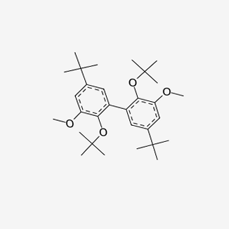 COc1cc(C(C)(C)C)cc(-c2cc(C(C)(C)C)cc(OC)c2OC(C)(C)C)c1OC(C)(C)C